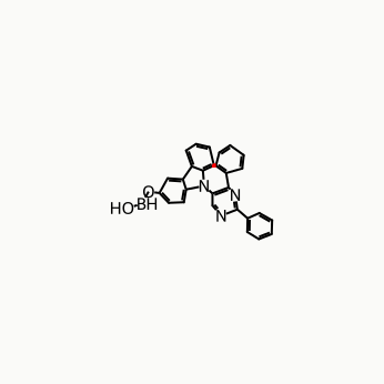 OBOc1ccc2c(c1)c1ccccc1n2-c1cnc(-c2ccccc2)nc1-c1ccccc1